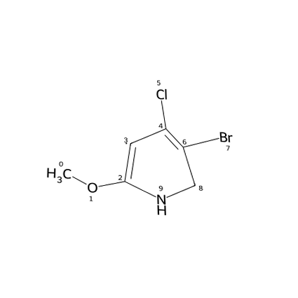 COC1=[C]C(Cl)=C(Br)CN1